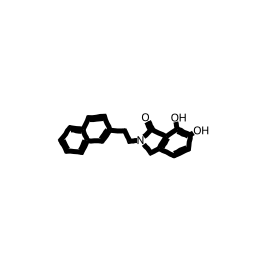 O=C1c2c(ccc(O)c2O)CN1CCc1ccc2ccccc2c1